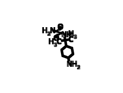 CC(C)(NS(N)(=O)=O)C1CCC(N)CC1